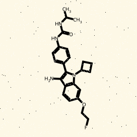 CC(C)NC(=O)Nc1ccc(-c2c(N)c3ccc(OCCF)cc3n2C2CCC2)cc1